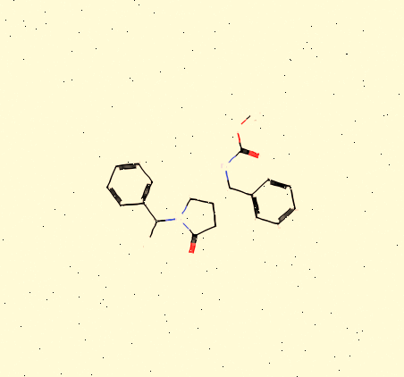 CC(c1ccccc1)N1C[C@H](C(NC(=O)OC(C)(C)C)c2ccccc2)CC1=O